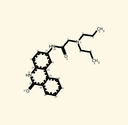 CCCN(CCC)CC(=O)Nc1ccc2[nH]c(=O)c3ccccc3c2c1